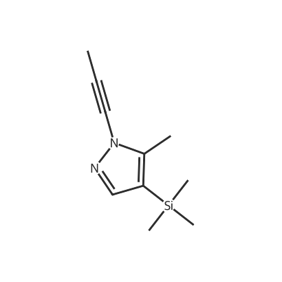 CC#Cn1ncc([Si](C)(C)C)c1C